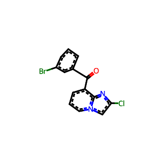 O=C(c1cccc(Br)c1)c1cccn2cc(Cl)nc12